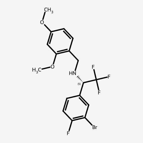 COc1ccc(CN[C@@H](c2ccc(F)c(Br)c2)C(F)(F)F)c(OC)c1